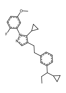 CCC(c1cccc(CCc2cnn(-c3cc(OC)ccc3F)c2C2CC2)c1)C1CC1